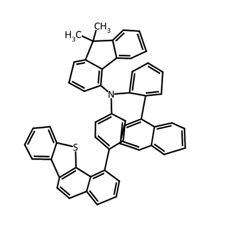 CC1(C)c2ccccc2-c2c(N(c3ccc(-c4cccc5ccc6c7ccccc7sc6c45)cc3)c3ccccc3-c3cccc4ccccc34)cccc21